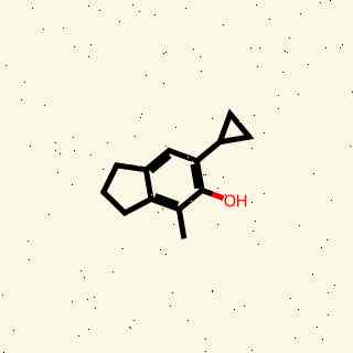 Cc1c(O)c(C2CC2)cc2c1CCC2